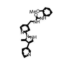 C=C1C(c2cccnc2)=CNN1c1cc(CNC(=O)Nc2ccccc2OC)ccn1